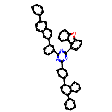 c1ccc(-c2ccc3cc(-c4cccc(-c5nc(-c6ccc(-c7ccc(-c8ccccc8)c8ccccc78)cc6)nc(-c6cccc7oc8ccccc8c67)n5)c4)ccc3c2)cc1